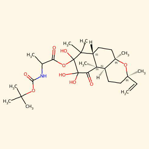 C=C[C@@]1(C)CC[C@H]2[C@@]3(C)C(=O)C(O)(O)C(O)(OC(=O)C(C)NC(=O)OC(C)(C)C)C(C)(C)[C@@H]3CC[C@@]2(C)O1